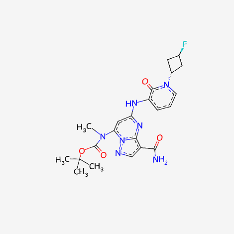 CN(C(=O)OC(C)(C)C)c1cc(Nc2cccn([C@H]3C[C@H](F)C3)c2=O)nc2c(C(N)=O)cnn12